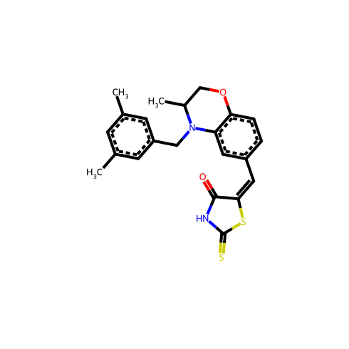 Cc1cc(C)cc(CN2c3cc(C=C4SC(=S)NC4=O)ccc3OCC2C)c1